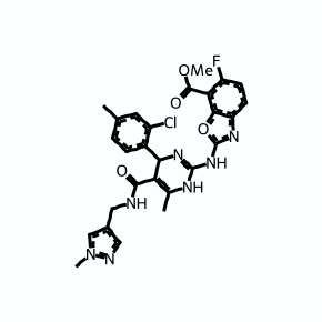 COC(=O)c1c(F)ccc2nc(NC3=NC(c4ccc(C)cc4Cl)C(C(=O)NCc4cnn(C)c4)=C(C)N3)oc12